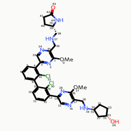 COc1nc(-c2cccc(-c3cccc(-c4cnc(CN[C@H]5CC[C@H](O)C5)c(OC)n4)c3Cl)c2Cl)cnc1CNC[C@@H]1CCC(=O)N1